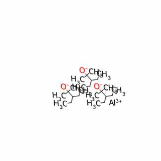 CCC(CC)C(C)(C)[O-].CCC(CC)C(C)(C)[O-].CCC(CC)C(C)(C)[O-].[Al+3]